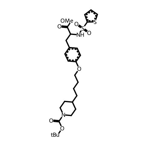 COC(=O)C(Cc1ccc(OCCCCC2CCN(C(=O)OC(C)(C)C)CC2)cc1)NS(=O)(=O)c1cccs1